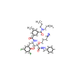 CCCN(CCC)C(=O)c1cc(C)cc(C(=O)NC(Cc2cc(F)cc(F)c2)C(O)C(OCCCC#N)C(=O)NCc2ccccc2)c1